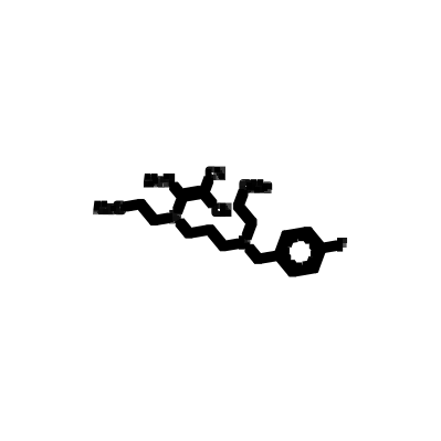 CNC(=C(C#N)C#N)N(CCCN(CCOC)Cc1ccc(F)cc1)CCOC